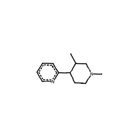 CC1CN(C)CCC1c1ccccn1